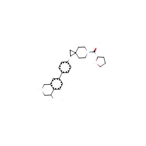 O=C(O)C1CNCc2cc(-c3ccc([C@H]4CC45CCN(C(=O)[C@H]4CCCO4)CC5)cc3)ccc21